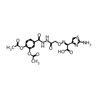 CC(=O)Oc1ccc(C(=O)NNC(=O)CO/N=C(\C(=O)O)c2csc(N)n2)cc1OC(C)=O